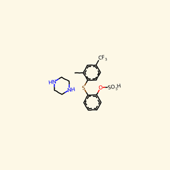 C1CNCCN1.Cc1cc(C(F)(F)F)ccc1Sc1ccccc1OS(=O)(=O)O